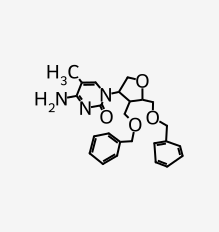 Cc1cn(C2COC(COCc3ccccc3)C2COCc2ccccc2)c(=O)nc1N